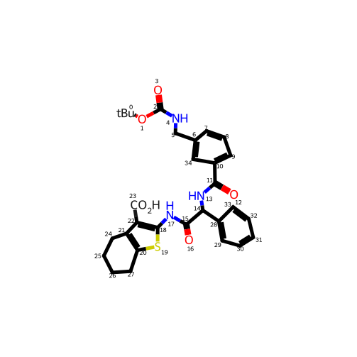 CC(C)(C)OC(=O)NCc1cccc(C(=O)NC(C(=O)Nc2sc3c(c2C(=O)O)CCCC3)c2ccccc2)c1